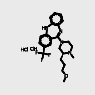 COCCC[C@H]1CN(C2=Nc3ccccc3Nc3ccc(C(F)(F)F)cc32)CCN1C.Cl.Cl